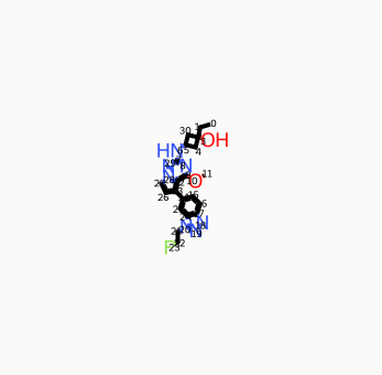 CCC1(O)CC(Nc2nc(OC)c3c(-c4ccc5nnn(CCF)c5c4)ccn3n2)C1